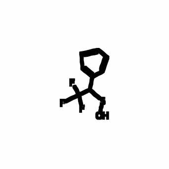 OSC(c1ccccc1)C(F)(F)F